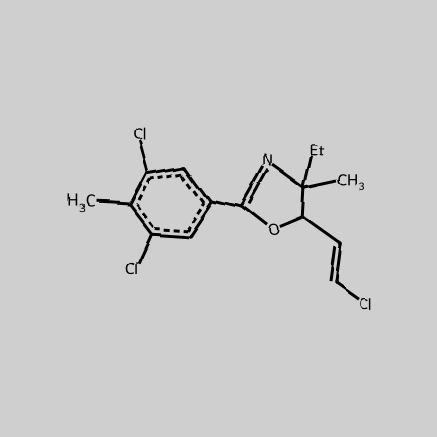 CCC1(C)N=C(c2cc(Cl)c(C)c(Cl)c2)OC1C=CCl